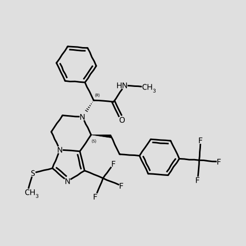 CNC(=O)[C@@H](c1ccccc1)N1CCn2c(SC)nc(C(F)(F)F)c2[C@@H]1CCc1ccc(C(F)(F)F)cc1